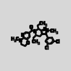 CCC1Cc2c(nn(C)c2-c2cc(Cl)cc(Cl)c2)C(CC)N1C(=O)c1cnc2c(c1)OCCN2C